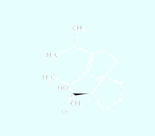 CC(C)C1=C(C(C)C)[C@@]2(CCC[C@H]2C(=O)O)CC1